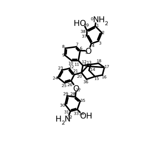 Nc1ccc(Oc2ccccc2C2C3CC4CC(C3)CC2(c2ccccc2Oc2ccc(N)c(O)c2)C4)cc1O